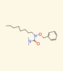 CCCCCCCCN(OCc1ccccc1)C(=O)N(C)C